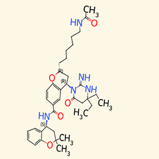 CCC1(CC)CC(=O)N([C@@H]2C[C@@H](CCCCCCNC(C)=O)Oc3ccc(C(=O)N[C@H]4CC(C)(C)Oc5ccccc54)cc32)C(=N)N1